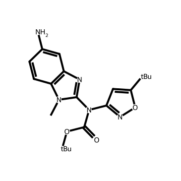 Cn1c(N(C(=O)OC(C)(C)C)c2cc(C(C)(C)C)on2)nc2cc(N)ccc21